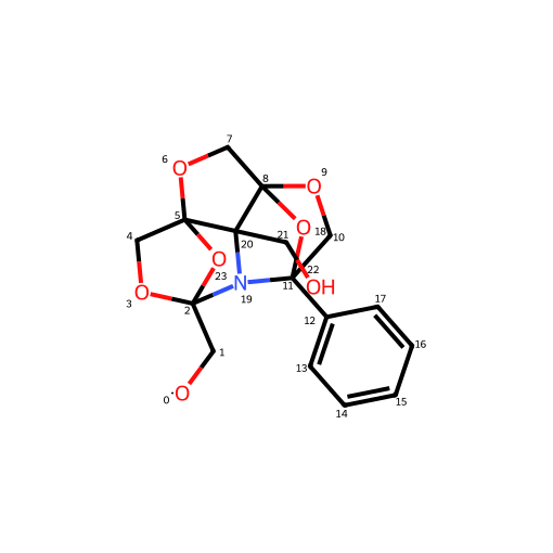 [O]CC12OCC3(OCC45OCC(c6ccccc6)(O4)N1C35CO)O2